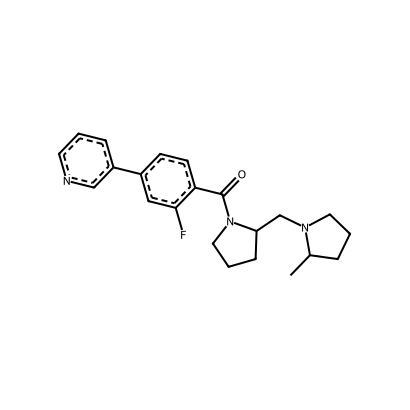 CC1CCCN1CC1CCCN1C(=O)c1ccc(-c2cccnc2)cc1F